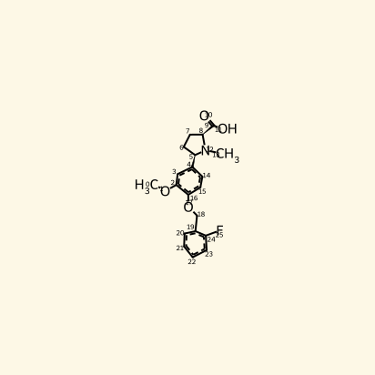 COc1cc([C@H]2CC[C@@H](C(=O)O)N2C)ccc1OCc1ccccc1F